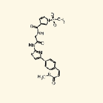 Cn1c(=O)ccc2ccc(-c3csc(NC(=O)CNC(=O)c4ccn(S(C)(=O)=O)c4)n3)cc21